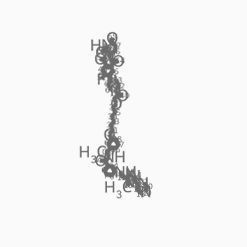 C[C@@H](NC(=O)c1cccc(NCc2nnc(-c3ccncn3)n2C)c1)c1cccc(OCCCCCCOCC(=O)N2CCN(c3cc4c(cc3F)C(=O)N(C3CCC(=O)NC3=O)C4=O)CC2)c1